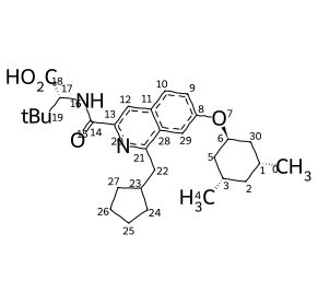 C[C@@H]1C[C@H](C)C[C@@H](Oc2ccc3cc(C(=O)N[C@@H](C(=O)O)C(C)(C)C)nc(CC4CCCC4)c3c2)C1